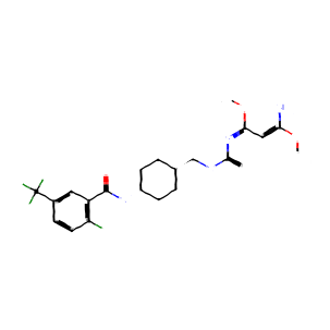 C=C(/N=C(\C=C(/N)OC)OC)NC[C@H]1CC[C@H](NC(=O)c2cc(C(F)(F)F)ccc2Cl)CC1